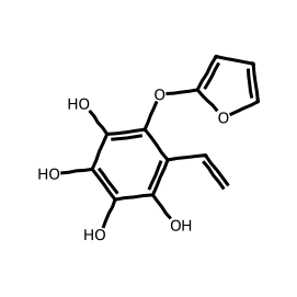 C=Cc1c(O)c(O)c(O)c(O)c1Oc1ccco1